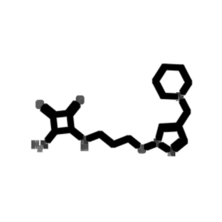 NC1C(=O)C(=O)C1NCCCOn1cc(CN2CCCCC2)cn1